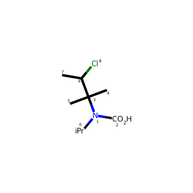 CC(C)N(C(=O)O)C(C)(C)C(C)Cl